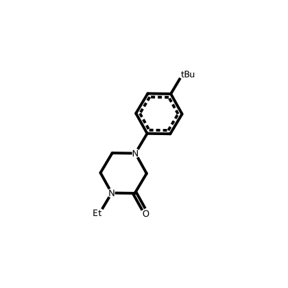 CCN1CCN(c2ccc(C(C)(C)C)cc2)CC1=O